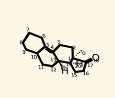 C[C@@]12CCC3=C4CCCCC4CC[C@H]3[C@@H]1CCC2=O